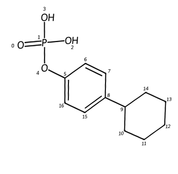 O=P(O)(O)Oc1ccc(C2CCCCC2)cc1